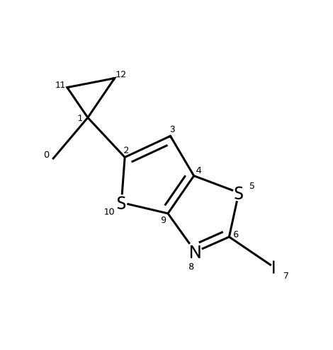 CC1(c2cc3sc(I)nc3s2)CC1